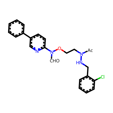 CC(=O)N(CCON(C=O)c1ccc(-c2ccccc2)cn1)NCc1ccccc1Cl